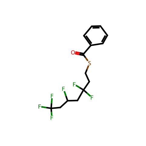 O=C(SCCC(F)(F)CC(F)CC(F)(F)F)c1ccccc1